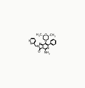 C[C@@H]1CN(c2c(-c3ccccc3)nc(N)n3c(=O)n(Cc4cccnn4)nc23)C[C@H](C)O1